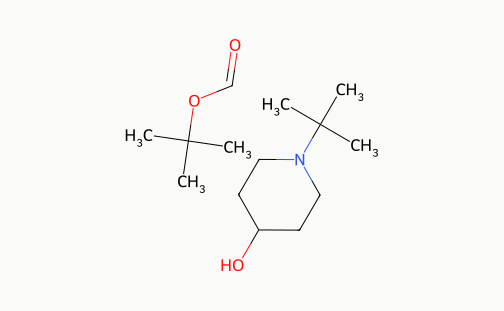 CC(C)(C)N1CCC(O)CC1.CC(C)(C)OC=O